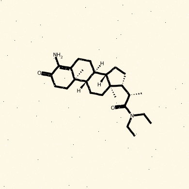 CCN(CC)C(=O)[C@@H](C)[C@H]1CC[C@H]2[C@@H]3CCC4=C(N)C(=O)CC[C@]4(C)[C@H]3CC[C@]12C